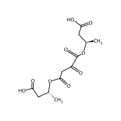 C[C@H](CC(=O)O)OC(=O)CC(=O)C(=O)O[C@H](C)CC(=O)O